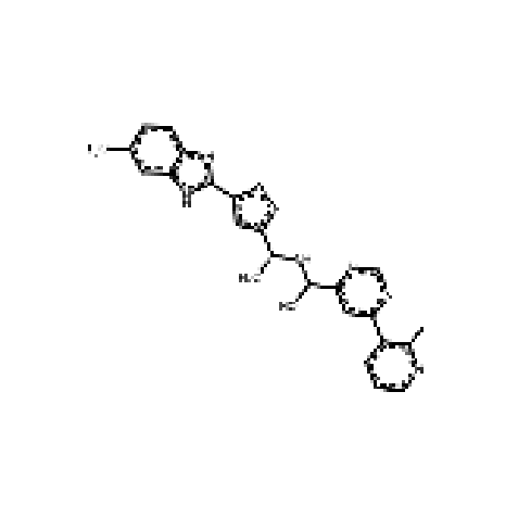 C[C@H](NC(O)c1cc(-c2cccnc2F)ncn1)c1cc(-c2nc3ccc(C(F)(F)F)cc3[nH]2)on1